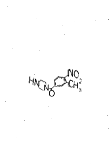 Cc1cc(C(=O)N2CCNCC2)ccc1[N+](=O)[O-]